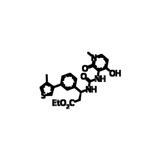 CCOC(=O)C[C@H](NC(=O)Nc1c(O)ccn(C)c1=O)c1cccc(-c2cscc2C)c1